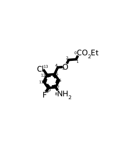 CCOC(=O)CCOCc1cc(N)c(F)cc1Cl